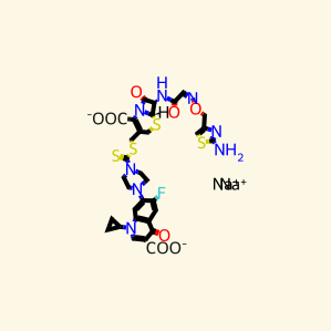 Nc1nc(CO/N=C\C(=O)N[C@@H]2C(=O)N3C(C(=O)[O-])=C(CSC(=S)N4CCN(c5cc6c(cc5F)c(=O)c(C(=O)[O-])cn6C5CC5)CC4)CS[C@H]23)cs1.[Na+].[Na+]